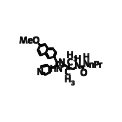 CCCNC(=O)NCC(C)(C)c1nc(-c2ccc3cc(OC)ccc3c2)c(-c2ccncc2)[nH]1